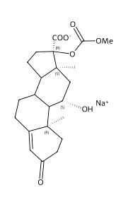 COC(=O)O[C@]1(C(=O)[O-])CCC2C3CCC4=CC(=O)CC[C@]4(C)C3[C@@H](O)C[C@@]21C.[Na+]